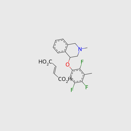 Cc1c(F)c(F)cc(OC2CN(C)Cc3ccccc32)c1F.O=C(O)C=CC(=O)O